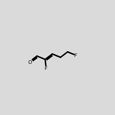 O=C/C(F)=C/CCF